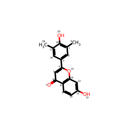 Cc1cc(-c2cc(=O)c3ccc(O)cc3o2)cc(C)c1O